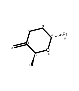 C=C1CC[C@H](CC)O[C@H]1C